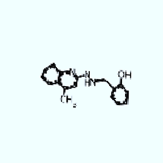 Cc1cc(NN=Cc2ccccc2O)nc2ccccc12